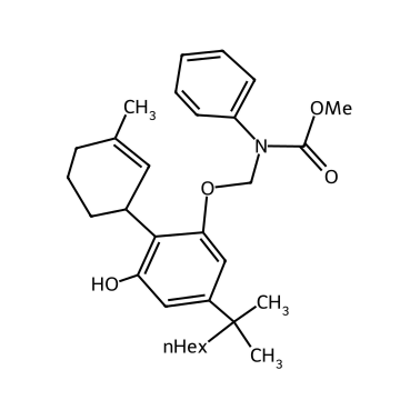 CCCCCCC(C)(C)c1cc(O)c(C2C=C(C)CCC2)c(OCN(C(=O)OC)c2ccccc2)c1